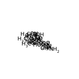 CC(=O)N[C@H]([C@@H]1O[C@](OP(=O)(O)OC[C@H]2O[C@@H](n3ccc(N)nc3=O)[C@H](O)[C@@H]2O)(C(=O)O)C[C@H](O)[C@@H]1NC(C)=O)[C@H](C)O